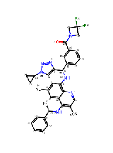 CC[C@@H](Nc1c(C#N)cnc2c(N[C@@H](c3cccc(C(=O)N4CC(F)(F)C4)c3)c3cn(C4CC4)nn3)cc(C#N)cc12)c1ccccc1